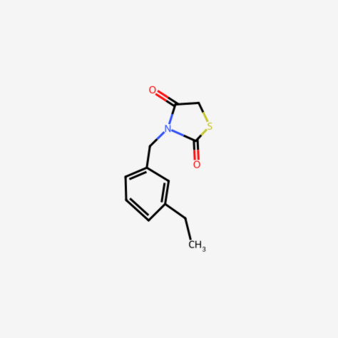 CCc1cccc(CN2C(=O)CSC2=O)c1